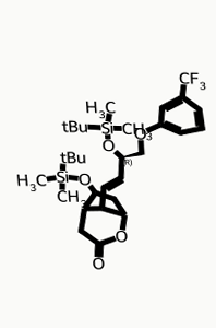 CC(C)(C)[Si](C)(C)OC1CC2OC(=O)CC1C2C=C[C@H](COc1cccc(C(F)(F)F)c1)O[Si](C)(C)C(C)(C)C